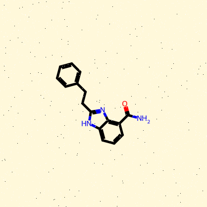 NC(=O)c1cccc2[nH]c(CCc3ccccc3)nc12